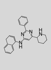 C1=CCc2ccccc2C=1Nc1cc(C2CCCCN2)nc(-c2ccccc2)n1